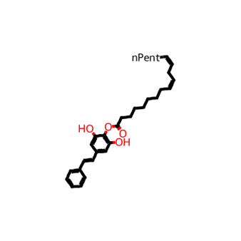 CCCCC/C=C\C/C=C\CCCCCCCC(=O)Oc1c(O)cc(C=Cc2ccccc2)cc1O